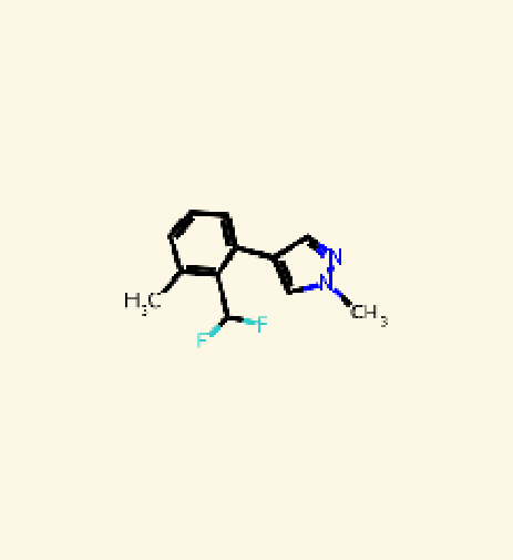 Cc1cccc(-c2cnn(C)c2)c1C(F)F